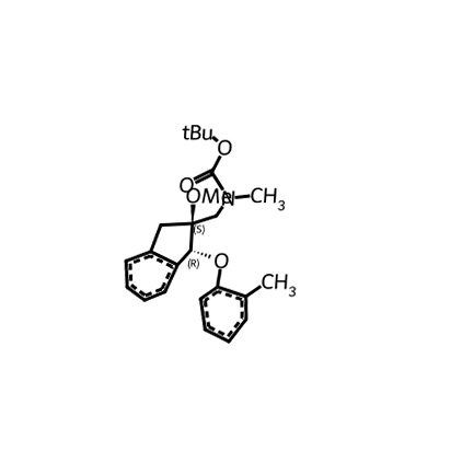 CO[C@]1(CN(C)C(=O)OC(C)(C)C)Cc2ccccc2[C@H]1Oc1ccccc1C